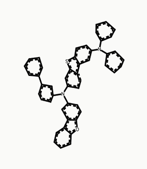 c1ccc(-c2cccc(N(c3ccc4c(c3)sc3ccc(N(c5ccccc5)c5ccccc5)cc34)c3ccc4oc5ccccc5c4c3)c2)cc1